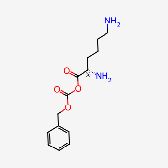 NCCCC[C@H](N)C(=O)OC(=O)OCc1ccccc1